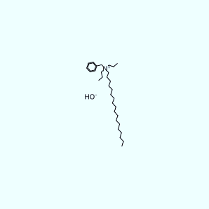 CCCCCCCCCCCCCCCCCC[N+](CCC)(CCC)Cc1ccccc1.[OH-]